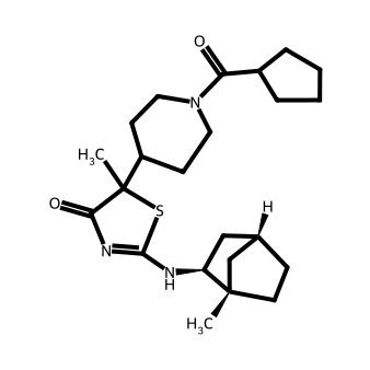 CC1(C2CCN(C(=O)C3CCCC3)CC2)SC(N[C@H]2C[C@@H]3CC[C@@]2(C)C3)=NC1=O